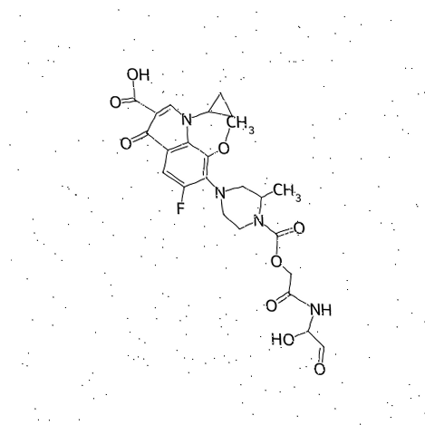 COc1c(N2CCN(C(=O)OCC(=O)NC(O)C=O)C(C)C2)c(F)cc2c(=O)c(C(=O)O)cn(C3CC3)c12